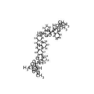 COC(=O)N[C@H](C(=O)NC(=O)[C@@H]1CCCN1c1ccc(CN(Cc2ccc(NC(=O)[C@@H]3CCCN3C(=O)[C@H](NC(=O)OC(C)(C)C)c3ccccc3)cc2)c2ccccc2)cc1)C(C)(C)C